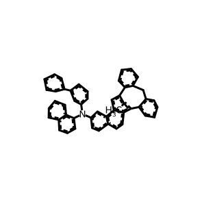 Cc1c2cc3c(ccc4ccc(N(c5cccc(-c6ccccc6)c5)c5cccc6ccccc56)cc43)c1-c1ccccc1Cc1ccccc1-2